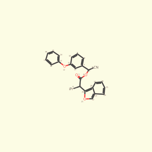 CC(C)C(C(=O)OC(C#N)c1cccc(Oc2ccccc2)c1)c1occ2ccccc12